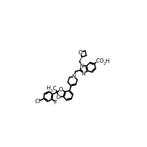 CC1(c2ccc(Cl)cc2F)Oc2cccc(C3=CCN(Cc4nc5ccc(C(=O)O)cc5n4C[C@@H]4CCO4)CC3)c2O1